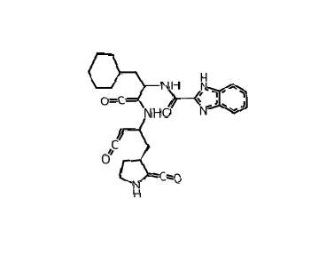 O=C=CC(C[C@@H]1CCNC1=C=O)NC(=C=O)C(CC1CCCCC1)NC(=O)c1nc2ccccc2[nH]1